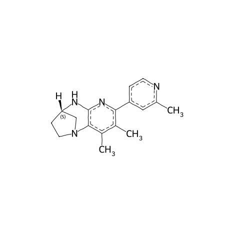 Cc1cc(-c2nc3c(c(C)c2C)N2CC[C@@H](C2)N3)ccn1